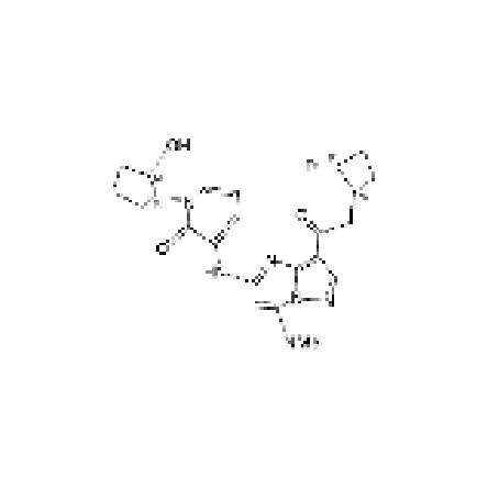 CNc1cc(Nc2cccn([C@@H]3CCC[C@@H]3O)c2=O)nc2c(C(=O)C[C@@H]3CC[C@H]3F)cnn12